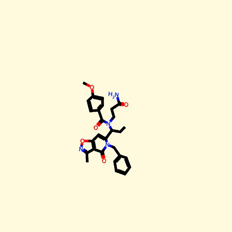 CCC(c1cc2onc(C)c2c(=O)n1Cc1ccccc1)N(CCC(N)=O)C(=O)c1ccc(OC)cc1